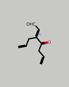 C=CCC(=O)/C(=C/C=O)CC=C